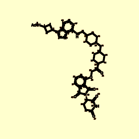 CC(=O)NC1CC(n2cnc3c(NCC4CCN(CC5CCN(C(=O)COc6cccc7c6C(=O)N([C@H]6CCC(=O)NC6=O)C7=O)CC5)CC4)ncnc32)C1